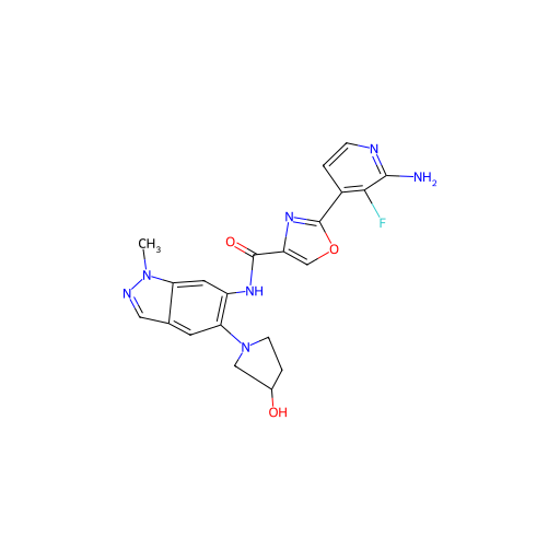 Cn1ncc2cc(N3CCC(O)C3)c(NC(=O)c3coc(-c4ccnc(N)c4F)n3)cc21